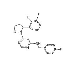 Fc1ccc(CNc2cc(N3OCCC3c3cccc(F)c3F)ncn2)cc1